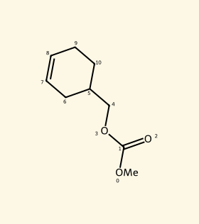 COC(=O)OCC1CC=CCC1